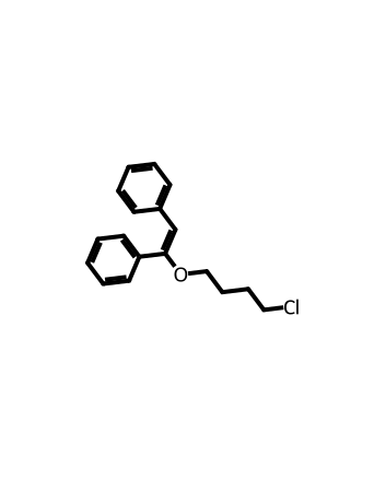 ClCCCCO/C(=C/c1ccccc1)c1ccccc1